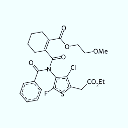 CCOC(=O)Cc1sc(F)c(N(C(=O)C2=C(C(=O)OCCOC)CCCC2)C(=O)c2ccccc2)c1Cl